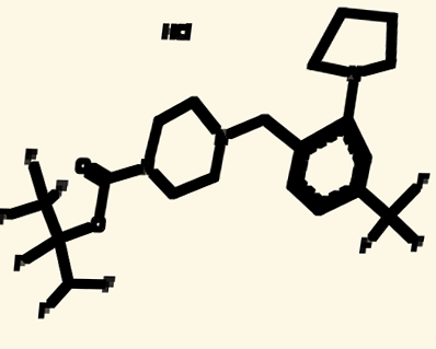 Cl.O=C(OC(F)(C(F)F)C(F)(F)F)N1CCN(Cc2ccc(C(F)(F)F)cc2N2CCCC2)CC1